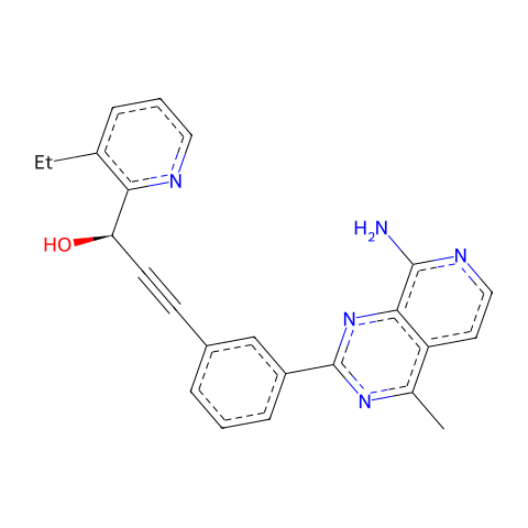 CCc1cccnc1[C@H](O)C#Cc1cccc(-c2nc(C)c3ccnc(N)c3n2)c1